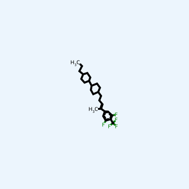 CCCC1CCC(C2CCC(CC/C=C(\C)c3cc(F)c(C(F)(F)F)c(F)c3)CC2)CC1